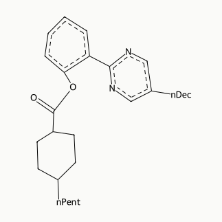 CCCCCCCCCCc1cnc(-c2ccccc2OC(=O)C2CCC(CCCCC)CC2)nc1